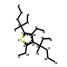 CCCC(C)(CC)c1sc(CC)c(C(C)(CC)CCC)c1CC